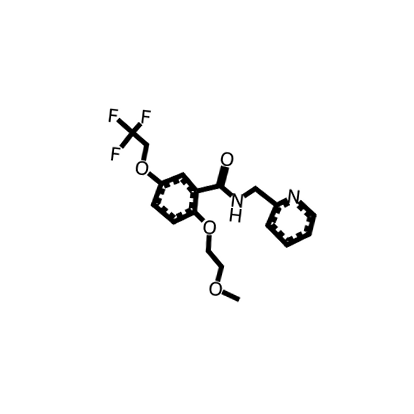 COCCOc1ccc(OCC(F)(F)F)cc1C(=O)NCc1ccccn1